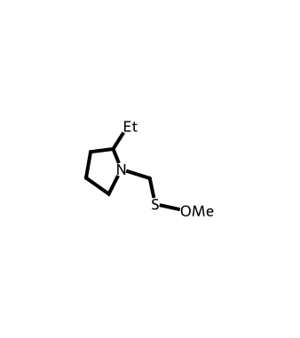 CCC1CCCN1CSOC